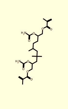 C=C(C)C(=O)OCC(CCC(C)CC(C)(C)CC(COC(=O)C(=C)C)OC(N)=O)OC(N)=O